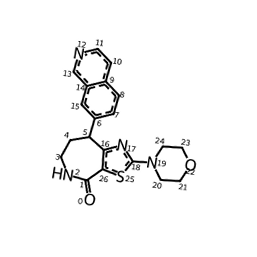 O=C1NCCC(c2ccc3ccncc3c2)c2nc(N3CCOCC3)sc21